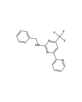 FC(F)(F)c1cc(-c2ccccn2)nc(NCc2ccccc2)n1